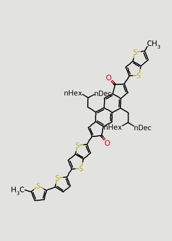 CCCCCCCCCCC(CCCCCC)Cc1c2cc3c(=O)c(-c4cc5sc(-c6ccc(-c7ccc(C)s7)s6)cc5s4)cc3c(CC(CCCCCC)CCCCCCCCCC)c2cc2c(=O)c(-c3cc4sc(C)cc4s3)cc12